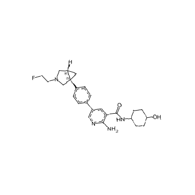 Nc1ncc(-c2ccc([C@]34C[C@H]3CN(CCF)C4)cc2)cc1C(=O)NC1CCC(O)CC1